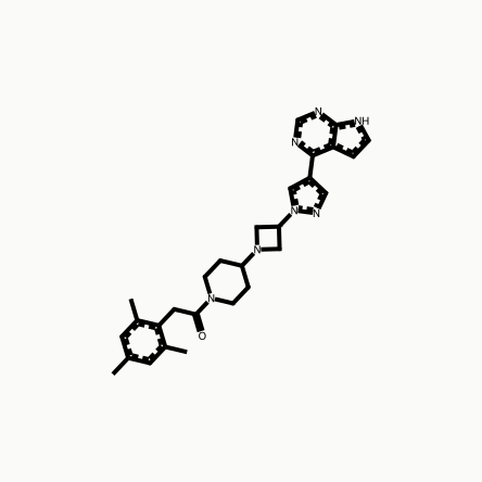 Cc1cc(C)c(CC(=O)N2CCC(N3C[C](n4cc(-c5ncnc6[nH]ccc56)cn4)C3)CC2)c(C)c1